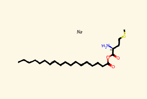 CCCCCCCCCCCCCCCCCC(=O)OC(=O)[C@@H](N)CCSC.[Na]